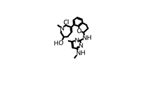 CNc1cc(C)nc(NC2CCc3cccc(C4=CCC(O)CN(C)C4Cl)c3O2)n1